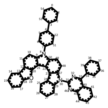 c1ccc(-c2ccc(-n3c4ccc5c6ccccc6oc5c4c4c5c6ccccc6n(-c6nc(-c7ccccc7)c7ccccc7n6)c5ccc43)cc2)cc1